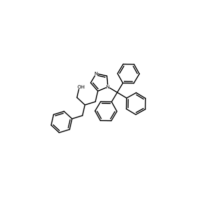 OCC(Cc1ccccc1)Cc1cncn1C(c1ccccc1)(c1ccccc1)c1ccccc1